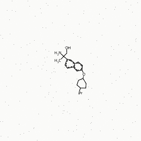 CC(C)C1CCC(Oc2ccc3cc(C(C)(N)CO)ccc3c2)CC1